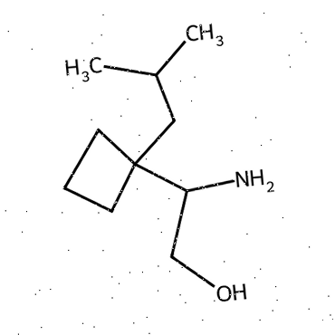 CC(C)CC1(C(N)CO)CCC1